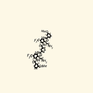 COc1cccc(C(=O)Nc2cc(C(F)(F)F)cc(NC(=O)c3cc(C(=O)Nc4cc(C(F)(F)F)cc(NC(=O)c5cccc(OC)c5)c4SCCN)ncn3)c2SCCN)c1